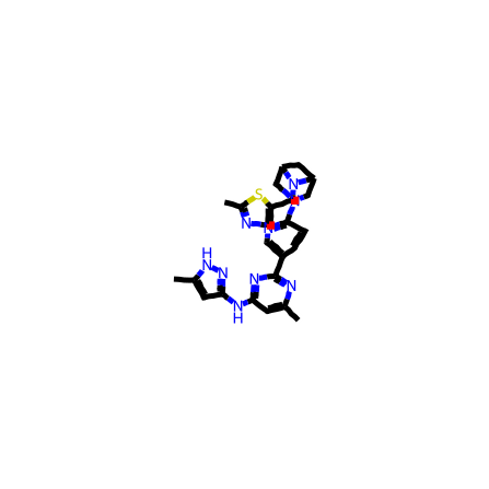 Cc1cc(Nc2cc(C)[nH]n2)nc(-c2ccc(N3CC4CC(C3)N4Cc3cnc(C)s3)nc2)n1